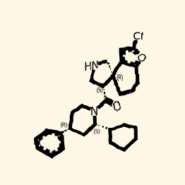 O=C([C@@H]1CNC[C@]12CCCc1oc(Cl)cc12)N1CC[C@@H](c2ccccc2)C[C@H]1C1CCCCC1